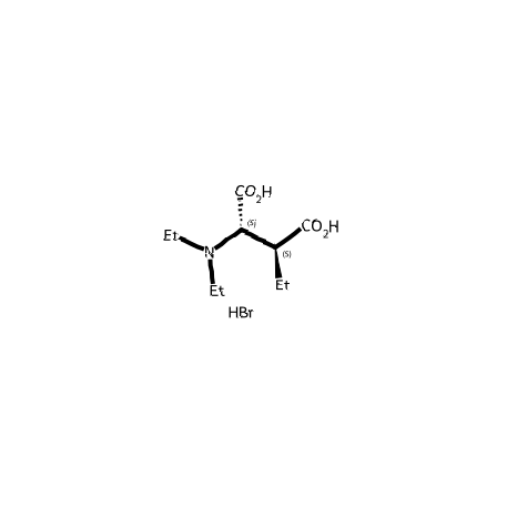 Br.CC[C@H](C(=O)O)[C@@H](C(=O)O)N(CC)CC